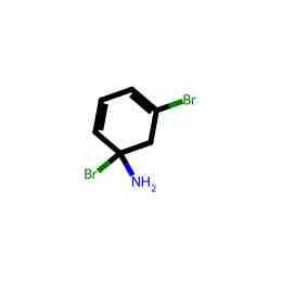 NC1(Br)C=CC=C(Br)C1